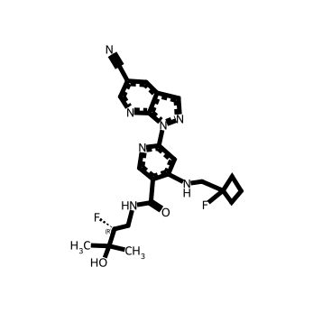 CC(C)(O)[C@H](F)CNC(=O)c1cnc(-n2ncc3cc(C#N)cnc32)cc1NCC1(F)CCC1